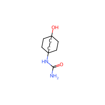 NC(=O)NC12CCC(O)(CC1)CC2